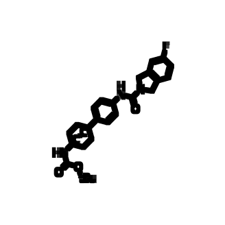 CC(C)(C)OC(=O)NC12CCC(c3ccc(NC(=O)N4Cc5ccc(F)cc5C4)cc3)(CC1)CC2